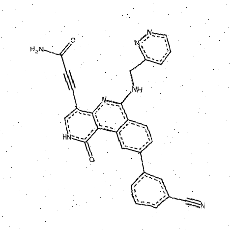 N#Cc1cccc(-c2ccc3c(NCc4cccnn4)nc4c(C#CC(N)=O)c[nH]c(=O)c4c3c2)c1